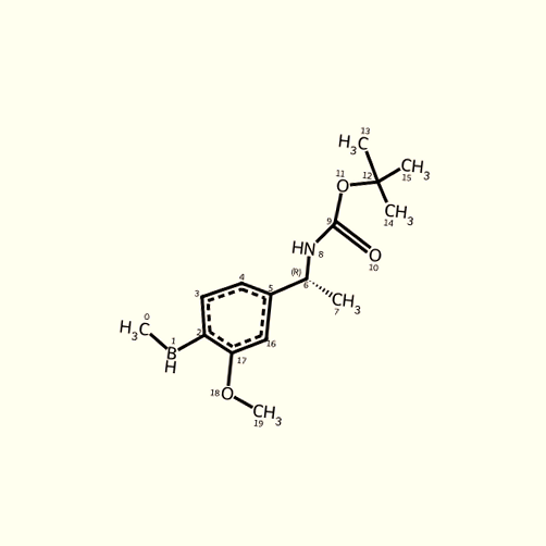 CBc1ccc([C@@H](C)NC(=O)OC(C)(C)C)cc1OC